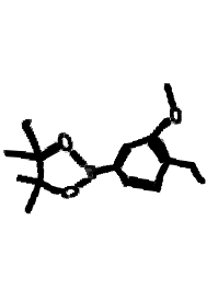 CCc1ccc(B2OC(C)(C)C(C)(C)O2)cc1OC